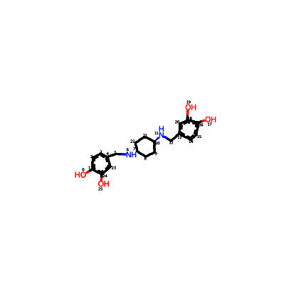 Oc1ccc(CN[C@H]2CC[C@H](NCc3ccc(O)c(O)c3)CC2)cc1O